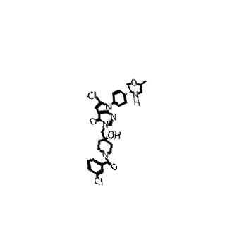 C[C@H]1CN[C@H](c2ccc(-n3c(Cl)cc4c(=O)n(CC5(O)CCN(C(=O)c6cccc(Cl)c6)CC5)cnc43)cc2)CO1